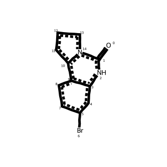 O=c1[nH]c2cc(Br)ccc2c2cccn12